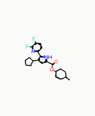 CC1CCC(OC(=O)c2cc(C3CCCC3)c(-c3ccc(F)c(F)n3)[nH]2)CC1